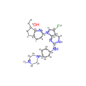 CC[C@]1(O)CCc2ccc(-n3cc(F)c4cnc(Nc5ccc(N6CCN(C)CC6)cc5)nc43)nc21